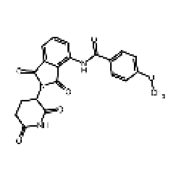 COc1ccc(C(=O)Nc2cccc3c2C(=O)N(C2CCC(=O)NC2=O)C3=O)cc1